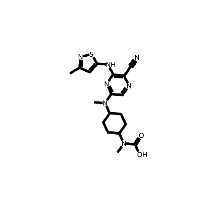 Cc1cc(Nc2nc(N(C)C3CCC(N(C)C(=O)O)CC3)cnc2C#N)sn1